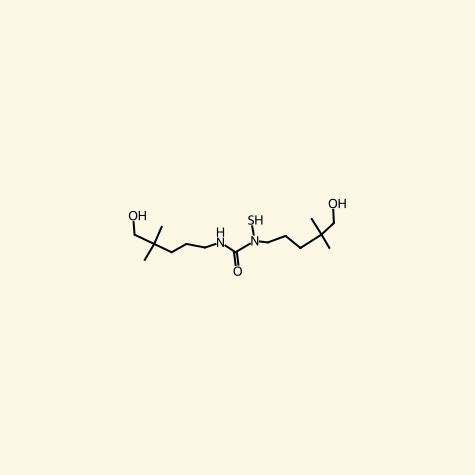 CC(C)(CO)CCCNC(=O)N(S)CCCC(C)(C)CO